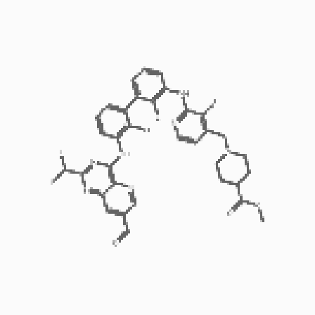 COC(=O)C1CCN(Cc2ccnc(Nc3cccc(-c4cccc(Nc5nc(C(F)F)nc6cc(C=O)cnc56)c4Cl)c3Cl)c2F)CC1